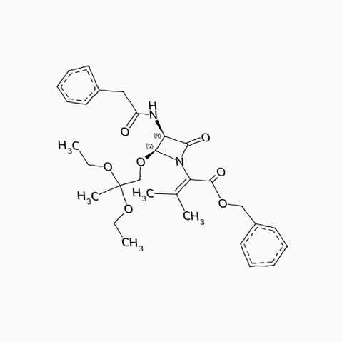 CCOC(C)(CO[C@H]1[C@@H](NC(=O)Cc2ccccc2)C(=O)N1C(C(=O)OCc1ccccc1)=C(C)C)OCC